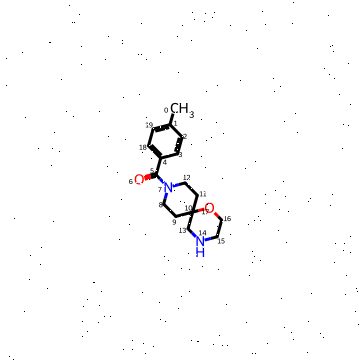 Cc1ccc(C(=O)N2CCC3(CC2)CNCCO3)cc1